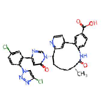 C[C@@H]1CCC[C@H](n2cnc(-c3cc(Cl)ccc3-n3cc(Cl)nn3)cc2=O)c2cc(ccn2)-c2cc(C(=O)O)ccc2NC1=O